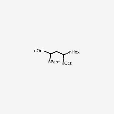 CCCCCCCCC(CCCCC)CC(CCCCCC)CCCCCCCC